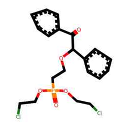 O=C(c1ccccc1)C(OCCP(=O)(OCCCl)OCCCl)c1ccccc1